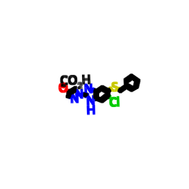 O=C(O)Oc1cnn(-c2nc3cc(SCc4ccccc4)c(Cl)cc3[nH]2)c1